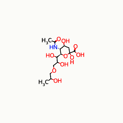 CC(=O)N[C@@H]1[C@@H](O)CC(O)(C(=O)O)O[C@H]1C(O)C(O)COCC(C)O